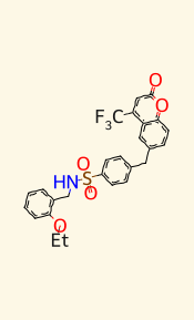 CCOc1ccccc1CNS(=O)(=O)c1ccc(Cc2ccc3oc(=O)cc(C(F)(F)F)c3c2)cc1